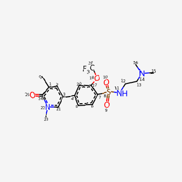 Cc1cc(-c2ccc(S(=O)(=O)NCCN(C)C)c(OC(F)(F)F)c2)cn(C)c1=O